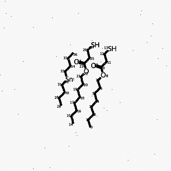 CCCCCCCCOC(=O)CCS.CCCCCCCCOC(=O)CCS.CCC[CH2][Sn][CH2]CCC